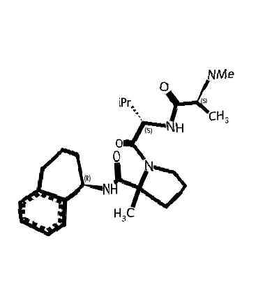 CN[C@@H](C)C(=O)N[C@H](C(=O)N1CCCC1(C)C(=O)N[C@@H]1CCCc2ccccc21)C(C)C